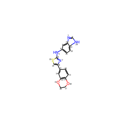 c1nc2cc(Nc3nc(-c4ccc5c(c4)OCCO5)cs3)ccc2[nH]1